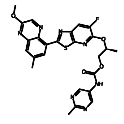 COc1cnc2c(-c3nc4cc(F)c(O[C@@H](C)COC(=O)Nc5cnc(C)nc5)nc4s3)cc(C)cc2n1